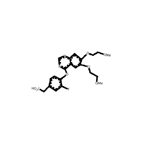 COCCOc1cc2ncnc(Oc3ccc(CC(=O)O)cc3F)c2cc1OCCOC